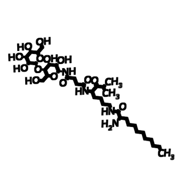 CCCCCCCCCCC(N)C(=O)NCCCCC(NC(=O)CCC(=O)N[C@@H]1OC(CO)[C@@H](O[C@@H]2OC(CO)[C@H](O)[C@H](O)C2O)[C@H](O)C1O)C(=O)C(C)C